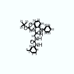 Cc1cccc(NC(=O)NCC(=O)N(CC(=O)OC(C)(C)C)c2ccccc2Nc2ccccc2)c1